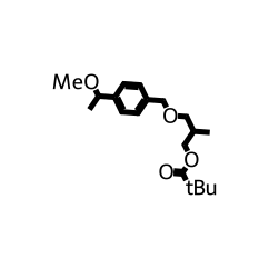 COC(C)c1ccc(COCC(C)COC(=O)C(C)(C)C)cc1